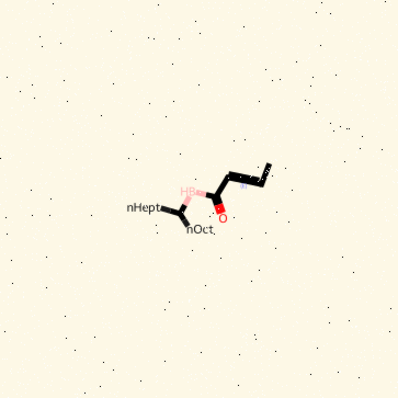 C/C=C/C(=O)BC(CCCCCCC)CCCCCCCC